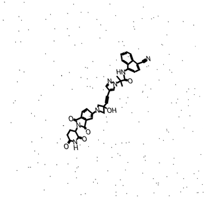 CC(C)(C(=O)Nc1ccc(C#N)c2ccccc12)n1cc(C#CC2(O)CN(c3ccc4c(c3)C(=O)N(C3CCC(=O)NC3=O)C4=O)C2)cn1